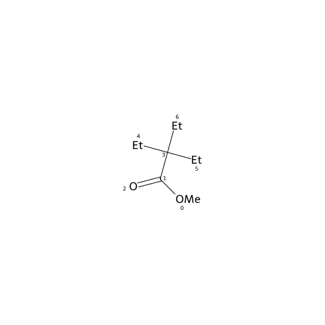 [CH2]OC(=O)C(CC)(CC)CC